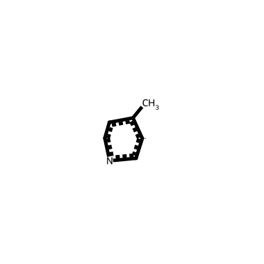 Cc1[c]cncc1